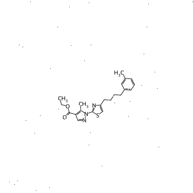 CCOC(=O)c1cnn(-c2nc(CCCCc3cccc(C)c3)cs2)c1C